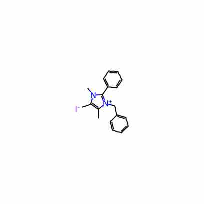 Cc1c(C)[n+](Cc2ccccc2)c(-c2ccccc2)n1C.[I-]